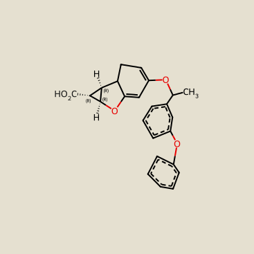 CC(OC1=CCC2C(=C1)O[C@H]1[C@H](C(=O)O)[C@@H]21)c1cccc(Oc2ccccc2)c1